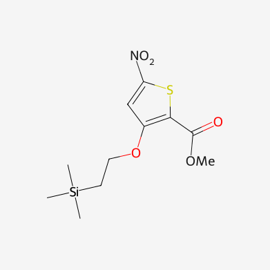 COC(=O)c1sc([N+](=O)[O-])cc1OCC[Si](C)(C)C